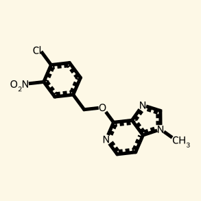 Cn1cnc2c(OCc3ccc(Cl)c([N+](=O)[O-])c3)nccc21